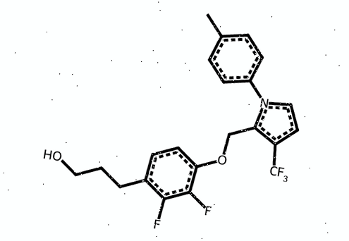 Cc1ccc(-n2ccc(C(F)(F)F)c2COc2ccc(CCCO)c(F)c2F)cc1